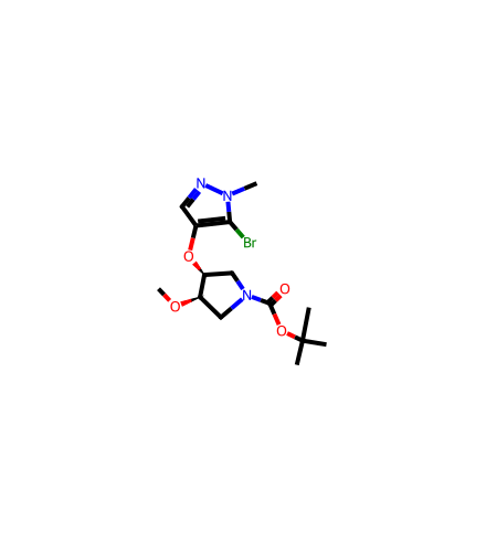 CO[C@@H]1CN(C(=O)OC(C)(C)C)C[C@@H]1Oc1cnn(C)c1Br